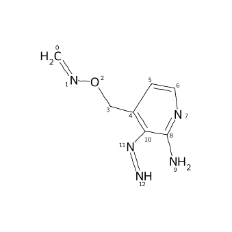 C=NOCc1ccnc(N)c1N=N